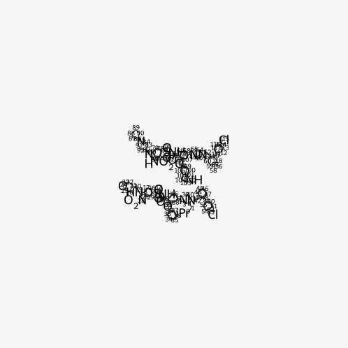 CC(C)CC1CN(c2ccc(C(=O)NS(=O)(=O)c3ccc(NCC4CCOCC4)c([N+](=O)[O-])c3)c(Oc3ccccc3)c2)CCN1Cc1ccccc1-c1ccc(Cl)cc1.CC1(C)CCC(CN2CCN(c3ccc(C(=O)NS(=O)(=O)c4ccc(NC5CCN(C6CCCC6)CC5)c([N+](=O)[O-])c4)c(Oc4ccc5[nH]ccc5c4)c3)CC2)=C(c2ccc(Cl)cc2)C1